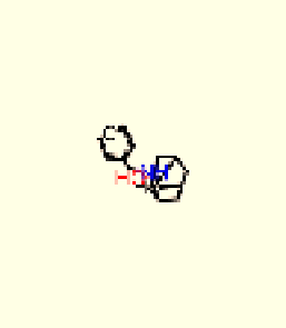 O[C@]12CC3CC(C1)[C@H](NCc1ccccc1)C(C3)C2